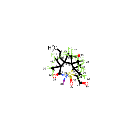 CCCC1(C(F)(F)F)C(C(F)(F)F)(C(F)(F)F)C(=O)N(I)[SH](=O)(CC=O)C(C(F)(F)F)(C(F)(F)F)C1(C(F)(F)F)C(F)(F)F